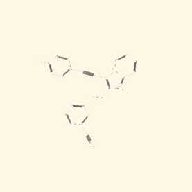 N#Cc1cccc(OCc2nc3ccccn3c2C#Cc2ccc(F)cc2)c1